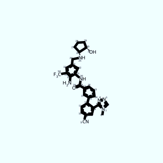 Cn1cnnc1-c1cc(C#N)ccc1-c1cccc(C(=O)Nc2cc(CN[C@@H]3CCC[C@@H]3O)cc(C(F)(F)F)c2N)c1